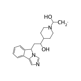 [CH2]C(O)N1CCC(C(O)CC2c3ccccc3-c3cncn32)CC1